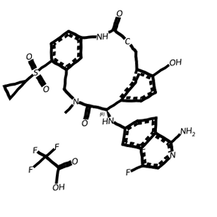 CN1Cc2cc(ccc2S(=O)(=O)C2CC2)NC(=O)CCc2cc(ccc2O)[C@@H](Nc2ccc3c(N)ncc(F)c3c2)C1=O.O=C(O)C(F)(F)F